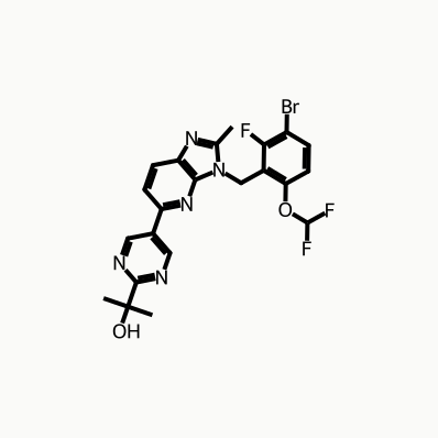 Cc1nc2ccc(-c3cnc(C(C)(C)O)nc3)nc2n1Cc1c(OC(F)F)ccc(Br)c1F